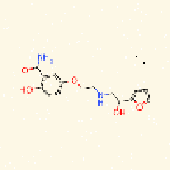 NC(=O)c1cc(OCCNCC(O)c2ccco2)ccc1O